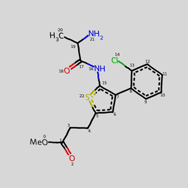 COC(=O)CCc1cc(-c2ccccc2Cl)c(NC(=O)C(C)N)s1